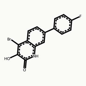 O=c1[nH]c2cc(-c3ccc(F)cc3)ccc2c(Br)c1O